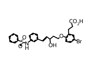 O=C(O)CCc1cc(Br)ccc1OCCC(O)/C=C/c1cccc(NS(=O)(=O)c2ccccc2)c1